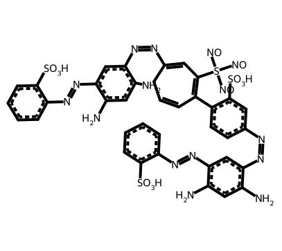 Nc1cc(N)c(/N=N\C2=CC(S(N=O)(N=O)N=O)=C(c3ccc(/N=N\c4cc(N=Nc5ccccc5S(=O)(=O)O)c(N)cc4N)cc3S(=O)(=O)O)C=CC2)cc1N=Nc1ccccc1S(=O)(=O)O